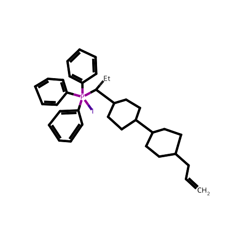 C=CCC1CCC(C2CCC(C(CC)P(I)(c3ccccc3)(c3ccccc3)c3ccccc3)CC2)CC1